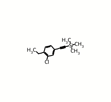 CCc1ccc(C#C[Si](C)(C)C)cc1Cl